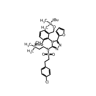 COc1cccc(CO[Si](C)(C)C(C)(C)C)c1-n1c(-c2ccco2)nnc1N(CC[Si](C)(C)C)S(=O)(=O)CCc1ccc(Cl)cc1